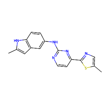 Cc1cc2cc(Nc3nccc(-c4ncc(C)s4)n3)ccc2[nH]1